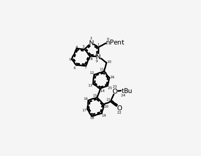 CCCCCc1nc2ccccc2n1Cc1ccc(-c2ccccc2C(=O)OC(C)(C)C)cc1